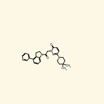 CC1(C)CCN(c2ccc(=O)n(CC(=O)N3CCc4c(-c5cccnc5)cccc43)n2)CC1